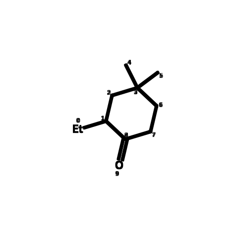 CCC1CC(C)(C)CCC1=O